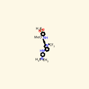 COc1cc(S(C)(=O)=O)ccc1NCC#Cc1cc2c(NC3CCC(N(C)C)CC3)cccc2n1CC(F)(F)F